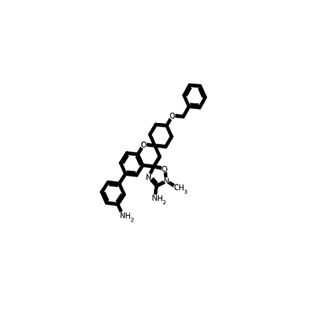 CN1OC2(CC3(CCC(OCc4ccccc4)CC3)Oc3ccc(-c4cccc(N)c4)cc32)N=C1N